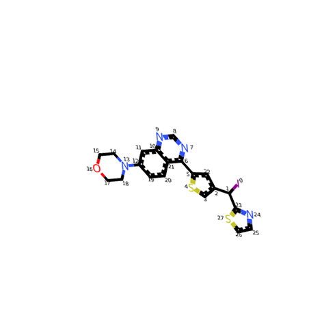 IC(c1csc(-c2ncnc3cc(N4CCOCC4)ccc23)c1)c1nccs1